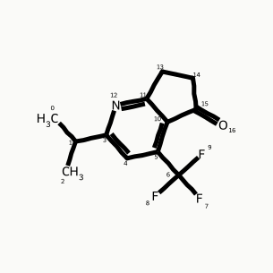 CC(C)c1cc(C(F)(F)F)c2c(n1)CCC2=O